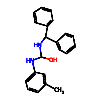 Cc1cccc(NC(O)NC(c2ccccc2)c2ccccc2)c1